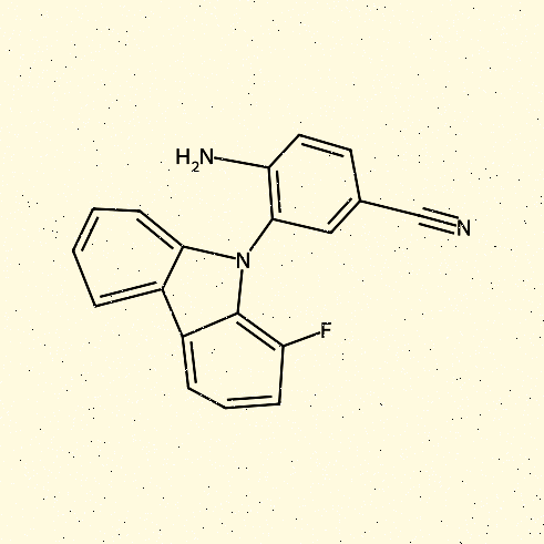 N#Cc1ccc(N)c(-n2c3ccccc3c3cccc(F)c32)c1